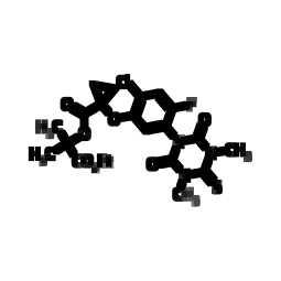 CCOC(=O)C(C)(C)OC(=O)C1(Oc2cc(-n3c(=O)n(C)c(=S)n(C)c3=O)c(F)cc2Cl)CC1